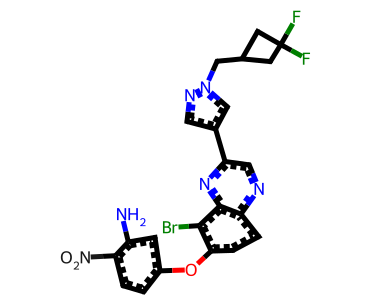 Nc1cc(Oc2ccc3ncc(-c4cnn(CC5CC(F)(F)C5)c4)nc3c2Br)ccc1[N+](=O)[O-]